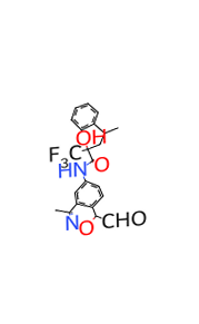 CC1=NOC(C=O)c2ccc(NC(=O)C(O)(CC(C)c3ccccc3)C(F)(F)F)cc21